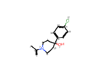 C=C(C)N1CCC(O)(c2ccc(Cl)cc2)CC1